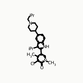 Cc1c(-c2[nH]c3ccc(C4CCN(CC(C)C)CC4)cc3c2C(C)C)cn(C)c(=O)c1Cl